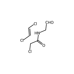 ClC=CCl.O=CCNC(=O)CCl